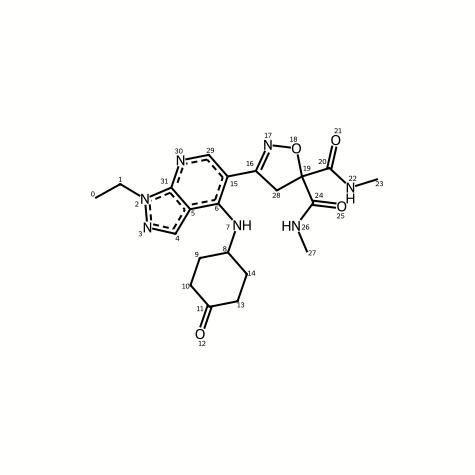 CCn1ncc2c(NC3CCC(=O)CC3)c(C3=NOC(C(=O)NC)(C(=O)NC)C3)cnc21